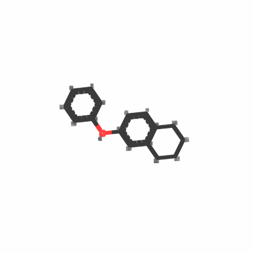 c1ccc(Oc2ccc3c(c2)CCCC3)cc1